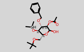 CC(=O)O[C@H]1C(O)O[C@H](COC(C)(C)C)[C@@H](O[SiH](C)C)[C@@H]1OCc1ccccc1